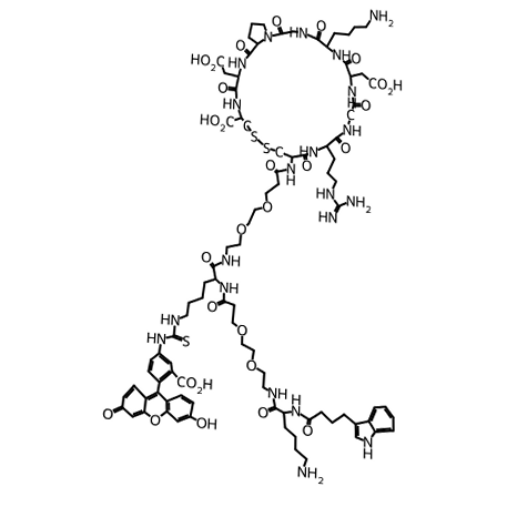 N=C(N)NCCCC1NC(=O)C(NC(=O)CCOCCOCCNC(=O)C(CCCCNC(=S)Nc2ccc(-c3c4ccc(=O)cc-4oc4cc(O)ccc34)c(C(=O)O)c2)NC(=O)CCOCCOCCNC(=O)C(CCCCN)NC(=O)CCCc2c[nH]c3ccccc23)CSSCC(C(=O)O)NC(=O)C(CC(=O)O)NC(=O)C2CCCN2C(=O)CNC(=O)C(CCCCN)NC(=O)C(CC(=O)O)NC(=O)CNC1=O